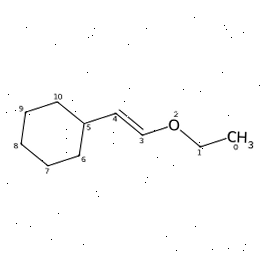 CCOC=CC1CCCCC1